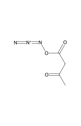 CC(=O)CC(=O)ON=[N+]=[N-]